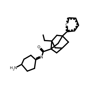 CCC12CC3CC(c4ccccc4)(C1)CC2(C(=O)N=C1CCC(N)CC1)C3